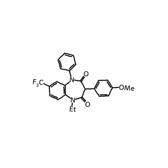 CCN1C(=O)C(c2ccc(OC)cc2)C(=O)N(c2ccccc2)c2cc(C(F)(F)F)ccc21